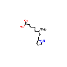 CNC(CCCCB(O)O)CCC1CCCN1